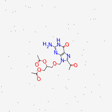 CC(=O)OCC(COCn1c(C(C)=O)nc2c(=O)[nH]c(N)nc21)OC(C)=O